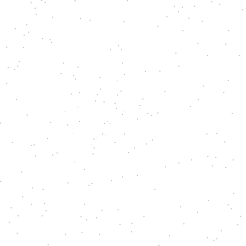 O=C(O)N(Cc1cc(Cl)ccc1-c1cccc(CO)c1)CC1c2ccccc2-c2ccccc21